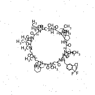 CC[C@H](C)[C@@H]1NC(=O)[C@H](CC(C)C)N(C)C(=O)C[C@@H](C)NC(=O)[C@H](CC(C)C)N(C)C(=O)C2(CCCC2)NC(=O)[C@H](CC(C)C)N(C)C(=O)[C@H](CCc2ccc(C(F)(F)F)c(Cl)c2)NC(=O)CN(C)C(=O)[C@H](CC2CCCCC2)N(C)C(=O)CN(C)C(=O)CN(C)C1=O